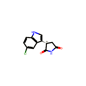 O=C1C[C@@H](c2c[nH]c3ccc(Cl)cc23)C(=O)N1